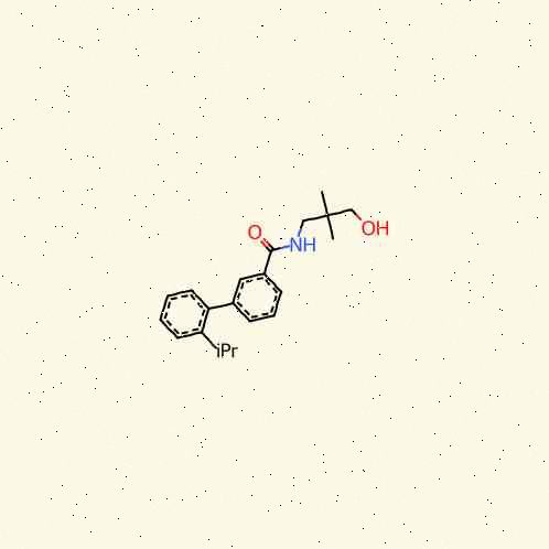 CC(C)c1ccccc1-c1cccc(C(=O)NCC(C)(C)CO)c1